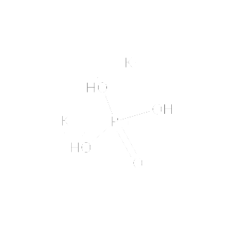 O=P(O)(O)O.[K].[K]